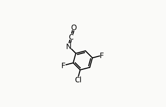 O=C=Nc1cc(F)cc(Cl)c1F